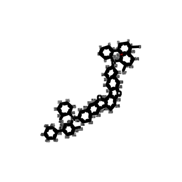 Cc1ccc(-c2ccccc2N(c2ccc3cc4c(cc3c2)oc2ccc3c5cc6ccc(N(c7ccccc7C)c7cc(-c8ccccc8)ccc7C)cc6cc5oc3c24)c2ccccc2C)cc1